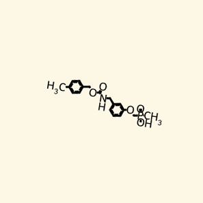 Cc1ccc(COC(=O)NCc2cccc(OCP(C)(=O)O)c2)cc1